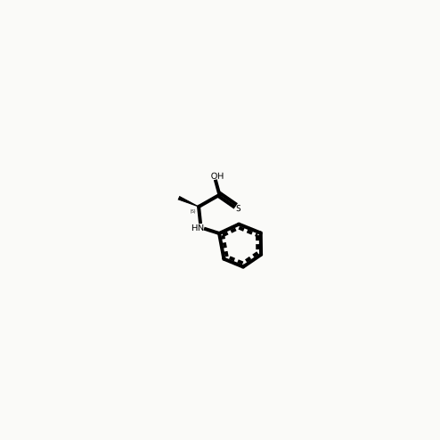 C[C@H](Nc1ccccc1)C(O)=S